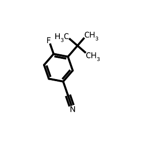 CC(C)(C)c1cc(C#N)ccc1F